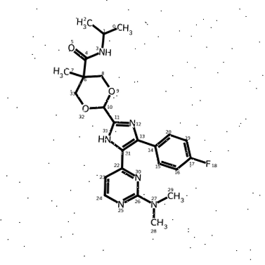 CC(C)NC(=O)C1(C)COC(c2nc(-c3ccc(F)cc3)c(-c3ccnc(N(C)C)n3)[nH]2)OC1